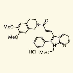 COCn1c(-c2ccccc2)c(/C=C/C(=O)N2CCc3cc(OC)c(OC)cc3C2)c2cccnc21.Cl